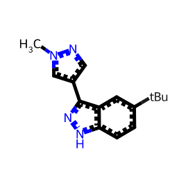 Cn1cc(-c2n[nH]c3ccc(C(C)(C)C)cc23)cn1